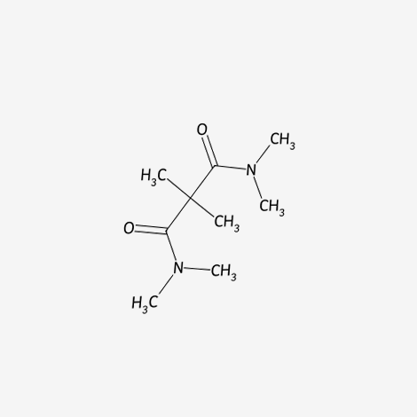 CN(C)C(=O)C(C)(C)C(=O)N(C)C